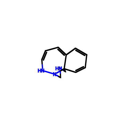 C1=CNN2CNCC23C=CC=CC3=C1